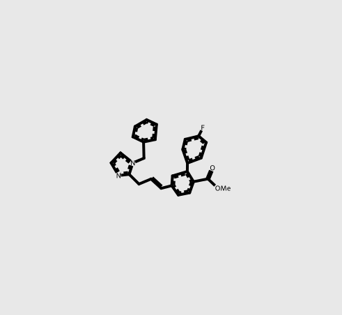 COC(=O)c1ccc(C=CCc2nccn2Cc2ccccc2)cc1-c1ccc(F)cc1